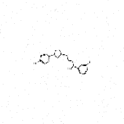 Oc1ccc(C2CCC(CNCC(O)c3cccc(Cl)c3)C2)cc1